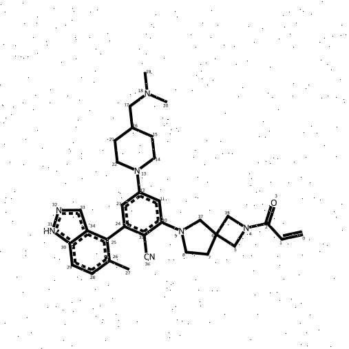 C=CC(=O)N1CC2(CCN(c3cc(N4CCC(CN(C)C)CC4)cc(-c4c(C)ccc5[nH]ncc45)c3C#N)C2)C1